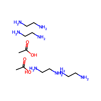 CC(=O)O.CC(=O)O.NCCN.NCCN.NCCN.NCCN